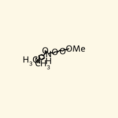 COCCOCCOCCNC(=O)c1ccc(N(C)C)cc1